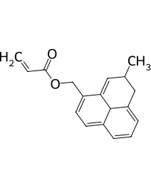 C=CC(=O)OCC1=CC=C2C=CC=C3CC(C)C=C1C23